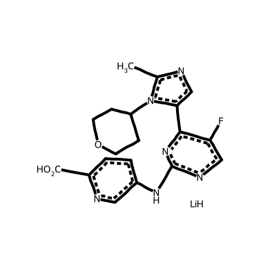 Cc1ncc(-c2nc(Nc3ccc(C(=O)O)nc3)ncc2F)n1C1CCOCC1.[LiH]